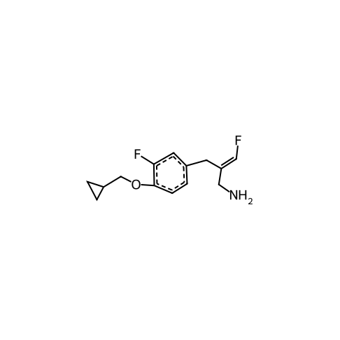 NC/C(=C/F)Cc1ccc(OCC2CC2)c(F)c1